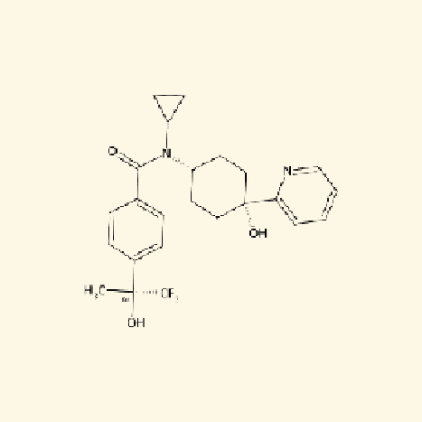 C[C@](O)(c1ccc(C(=O)N(C2CC2)[C@H]2CC[C@](O)(c3ccccn3)CC2)cc1)C(F)(F)F